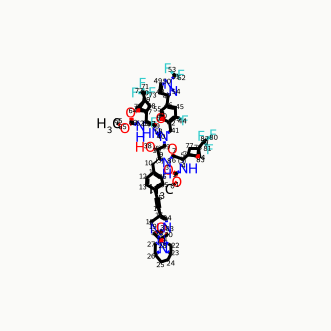 COC(=O)N[C@H](C(=O)N[C@@H](Cc1ccc(C#Cc2cnc(N3CC4CCC(C3)N4C3COC3)nc2)cc1)[C@@H](O)CN(Cc1c(F)cc(-c2ccn(C(F)F)n2)cc1F)NC(=O)[C@@H](NC(=O)OC)C12CC(C(F)(F)F)(C1)C2)C12CC(C(F)(F)F)(C1)C2